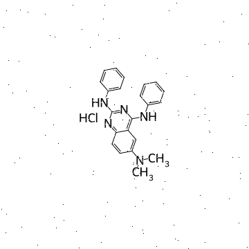 CN(C)c1ccc2nc(Nc3ccccc3)nc(Nc3ccccc3)c2c1.Cl